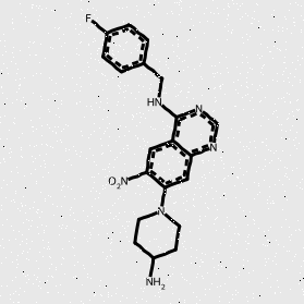 NC1CCN(c2cc3ncnc(NCc4ccc(F)cc4)c3cc2[N+](=O)[O-])CC1